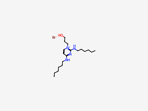 CCCCCCNc1cc[n+](CCCO)c(NCCCCCC)n1.[Br-]